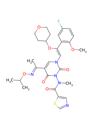 COc1ccc(F)cc1/C(=C/n1cc(/C(C)=N/OC(C)C)c(=O)n(N(C)C(=O)c2cncs2)c1=O)OC1CCOCC1